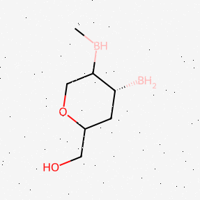 B[C@@H]1CC(CO)OCC1BC